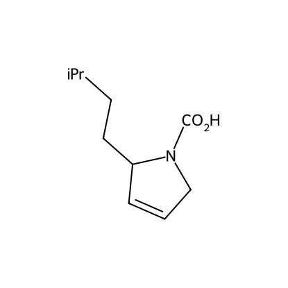 CC(C)CCC1C=CCN1C(=O)O